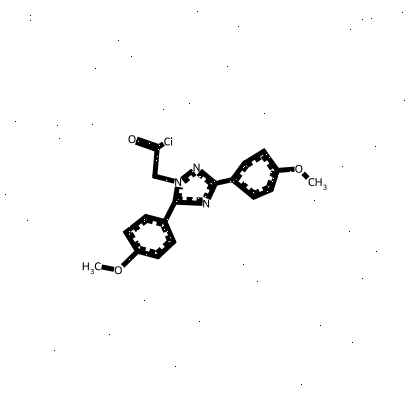 COc1ccc(-c2nc(-c3ccc(OC)cc3)n(CC(=O)Cl)n2)cc1